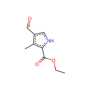 CCOC(=O)c1[nH]cc(C=O)c1C